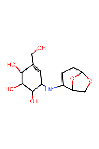 OCC1=CC(NC2CCC3OCC2O3)C(O)C(O)C1O